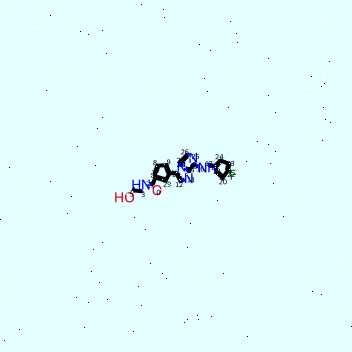 O=C(NCCO)c1cccc(-c2cnc3c(NCc4ccc(F)cc4)nccn23)c1